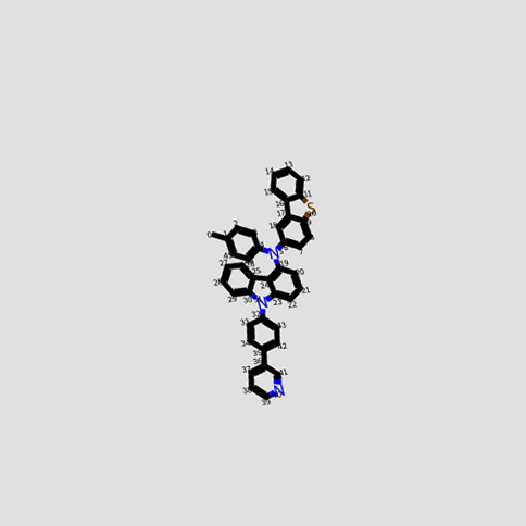 Cc1ccc(N(c2ccc3sc4ccccc4c3c2)c2cccc3c2c2ccccc2n3-c2ccc(-c3cccnc3)cc2)cc1